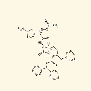 CC(=O)O/N=C(\C(=O)N[C@@H]1C(=O)N2C(C(=O)OC(c3ccccc3)c3ccccc3)=C(Sc3cccnc3)CS[C@@H]12)c1csc(N)n1